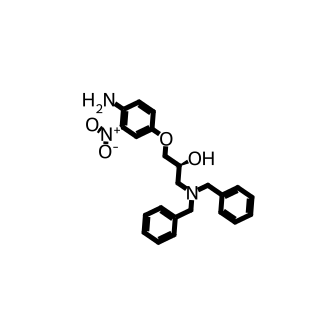 Nc1ccc(OC[C@@H](O)CN(Cc2ccccc2)Cc2ccccc2)cc1[N+](=O)[O-]